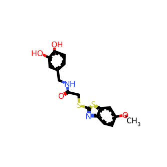 COc1ccc2nc(SCC(=O)NCc3ccc(O)c(O)c3)sc2c1